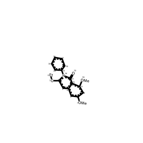 CCOc1cc2cc(OC)cc(OC)c2c(=O)n1-c1ccccc1